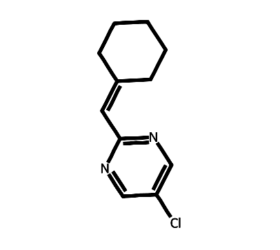 Clc1cnc(C=C2CCCCC2)nc1